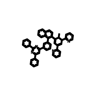 CC1C(c2ccc3ccccc3c2-c2cccc(-c3cc(-c4ccccc4)nc(-c4ccccc4)n3)c2)=CC(c2ccccn2)=CC1c1ccccn1